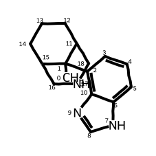 CC1(c2cccc3[nH]cnc23)C2CCCC1CNC2